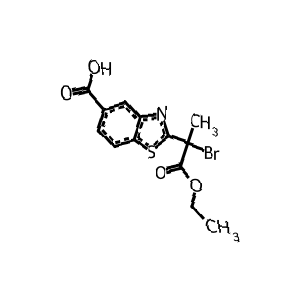 CCOC(=O)C(C)(Br)c1nc2cc(C(=O)O)ccc2s1